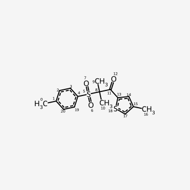 Cc1ccc(S(=O)(=O)C(C)(C)C(=O)c2cc(C)cs2)cc1